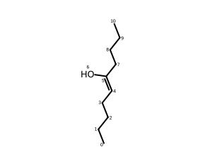 CCCCC=C(O)CCCC